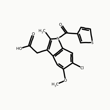 COc1cc2c(CC(=O)O)c(C)n(C(=O)c3ccsc3)c2cc1Cl